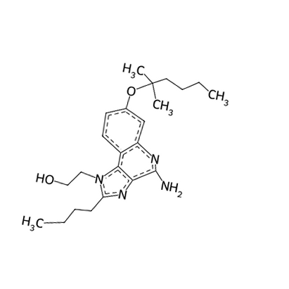 CCCCc1nc2c(N)nc3cc(OC(C)(C)CCCC)ccc3c2n1CCO